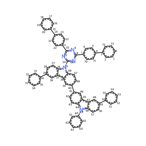 c1ccc(-c2ccc(-c3nc(-c4ccc(-c5ccccc5)cc4)nc(-n4c5ccc(-c6ccccc6)cc5c5cc(-c6ccc7c(c6)c6cc(-c8ccccc8)ccc6n7-c6ccccc6)ccc54)n3)cc2)cc1